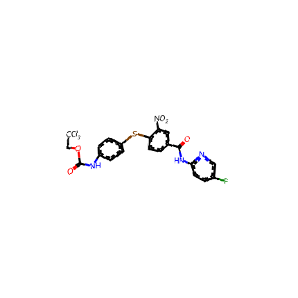 O=C(Nc1ccc(Sc2ccc(C(=O)Nc3ccc(F)cn3)cc2[N+](=O)[O-])cc1)OCC(Cl)(Cl)Cl